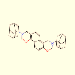 c1cc2c3c(ccc2c2c1CN(C14CC5CC(CC(C5)C1)C4)CO2)OCN(C12CC4CC(CC(C4)C1)C2)C3